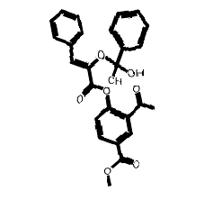 COC(=O)c1ccc(OC(=O)C(=Cc2ccccc2)OC(O)(O)c2ccccc2)c(C(C)=O)c1